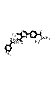 Cc1ccc(C(=O)NNC(=O)c2nc(-c3ccc(C(=O)N(C)C)cc3)cnc2N)cc1